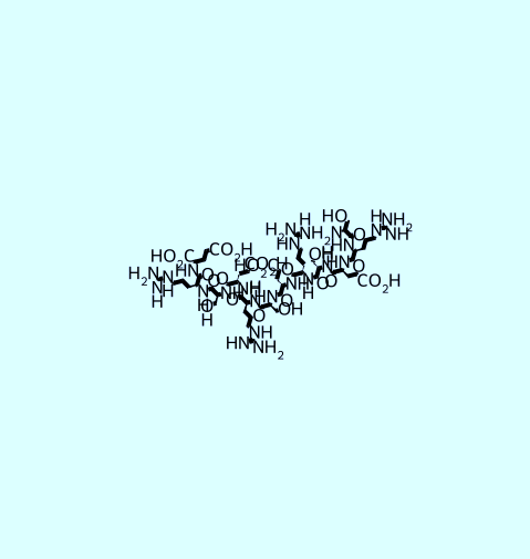 N=C(N)NCCC[C@H](NC(=O)[C@H](CO)NC(=O)[C@H](CCC(=O)O)NC(=O)[C@H](CCCNC(=N)N)NC(=O)[C@H](CO)NC(=O)[C@H](CCC(=O)O)NC(=O)[C@H](CCCNC(=N)N)NC(=O)[C@H](CO)NC(=O)[C@H](CCC(=O)O)NC(=O)[C@H](CCCNC(=N)N)NC(=O)[C@@H](N)CO)C(=O)N[C@@H](CCC(=O)O)C(=O)O